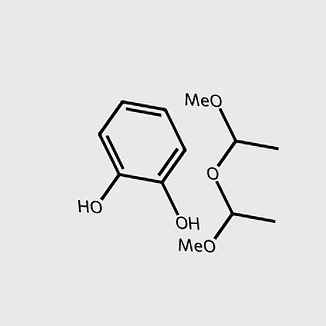 COC(C)OC(C)OC.Oc1ccccc1O